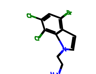 NCCn1ccc2c(Br)cc(Cl)c(Cl)c21